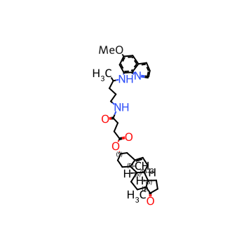 COc1cc(NC(C)CCCNC(=O)CCC(=O)O[C@H]2CC[C@@]3(C)C(=CC[C@@H]4[C@@H]3CC[C@]3(C)C(=O)CC[C@@H]43)C2)c2ncccc2c1